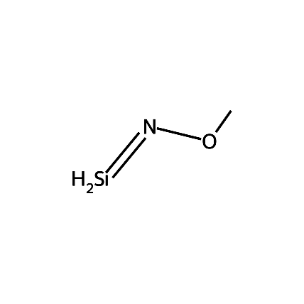 CON=[SiH2]